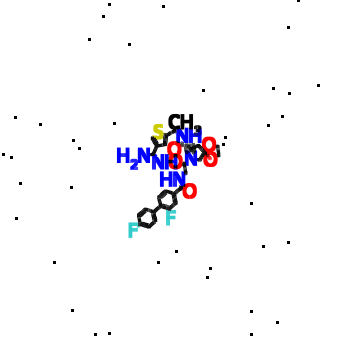 CC(NC(=O)[C@@H]1CC2(CN1C(=O)CNC(=O)c1ccc(-c3ccc(F)cc3)c(F)c1)OCCO2)c1cc(C(=N)N)cs1